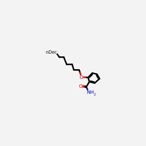 CCCCCCCCCCCCCCCCOc1ccccc1C(N)=O